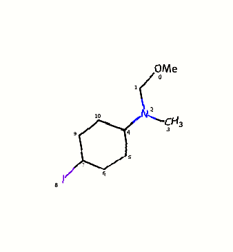 COCN(C)C1CCC(I)CC1